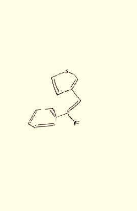 F/C(=C/c1ccsc1)c1ccccc1